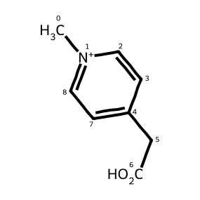 C[n+]1ccc(CC(=O)O)cc1